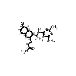 Cc1nc(N)nc(NC(C)c2cc3cc(Cl)ccc3nc2SCC(N)=O)n1